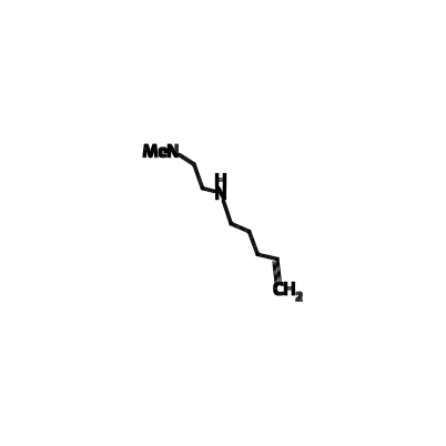 C=CCCCNCCNC